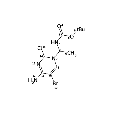 CC(NC(=O)OC(C)(C)C)N1C=C(Br)C(N)=NC1Cl